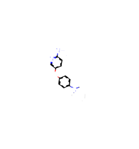 CN(C(=O)O)c1ccc(Oc2ccc(N)nc2)cc1